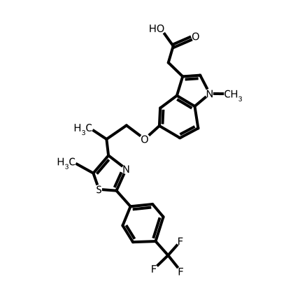 Cc1sc(-c2ccc(C(F)(F)F)cc2)nc1C(C)COc1ccc2c(c1)c(CC(=O)O)cn2C